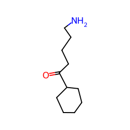 NCCCCC(=O)C1CCCCC1